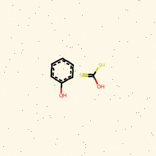 OC(=S)S.Oc1ccccc1